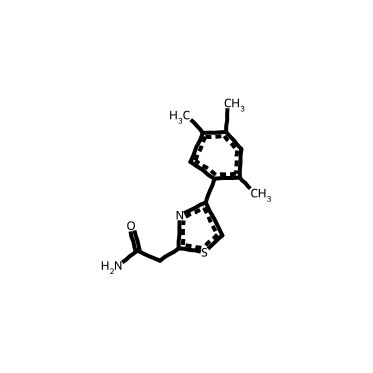 Cc1cc(C)c(-c2csc(CC(N)=O)n2)cc1C